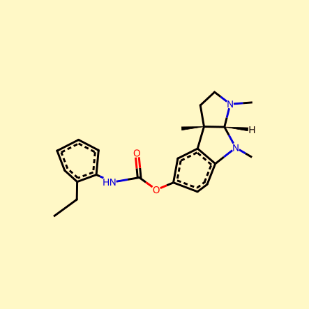 CCc1ccccc1NC(=O)Oc1ccc2c(c1)[C@]1(C)CCN(C)[C@@H]1N2C